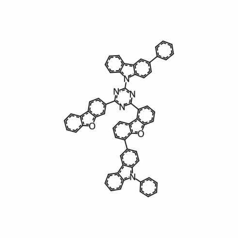 c1ccc(-c2ccc3c(c2)c2ccccc2n3-c2nc(-c3ccc4c(c3)oc3ccccc34)nc(-c3cccc4oc5c(-c6ccc7c(c6)c6ccccc6n7-c6ccccc6)cccc5c34)n2)cc1